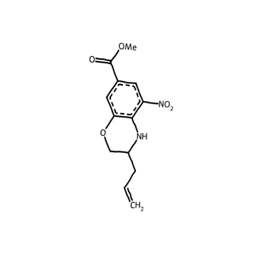 C=CCC1COc2cc(C(=O)OC)cc([N+](=O)[O-])c2N1